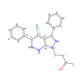 CC(=O)CCn1nc(-c2ccccc2)c2c(Cl)c(-c3ccccc3)nnc21